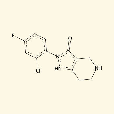 O=c1c2c([nH]n1-c1ccc(F)cc1Cl)CCNC2